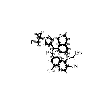 CC(C)(C)CNc1c(C#N)cnc2c(Cl)cc(NC(c3cn(C4(C(F)F)CC4)nn3)c3cccc4ccncc34)cc12